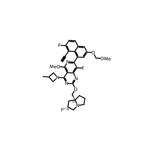 C#Cc1c(F)ccc2cc(OCOC)cc(-c3nc(OC)c4c(N5CC(C)C5)nc(OC[C@@]56CCCN5C[C@H](F)C6)nc4c3F)c12